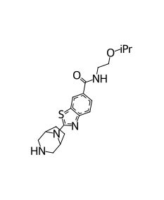 CC(C)OCCNC(=O)c1ccc2nc(N3C4CCC3CNC4)sc2c1